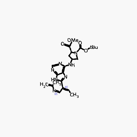 C=C(C)/N=C\C(=C/C)c1nc2c(NC3CC(C(=O)OC)N(C(=O)OC(C)(C)C)C3)ncnc2[nH]1